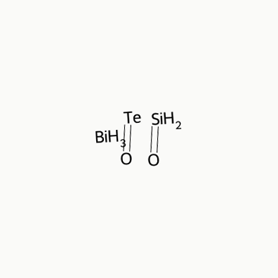 O=[SiH2].O=[Te].[BiH3]